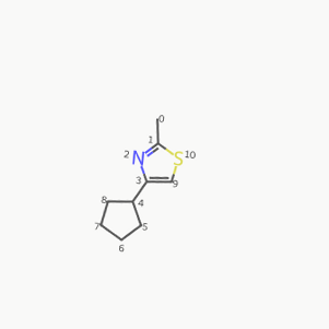 Cc1nc(C2CCCC2)cs1